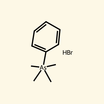 Br.C[As](C)(C)(C)c1ccccc1